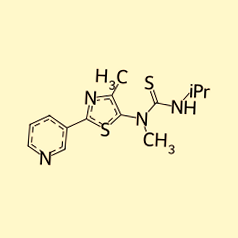 Cc1nc(-c2cccnc2)sc1N(C)C(=S)NC(C)C